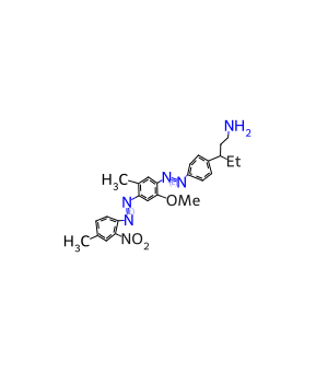 CCC(CCN)c1ccc(/N=N/c2cc(C)c(/N=N/c3ccc(C)cc3[N+](=O)[O-])cc2OC)cc1